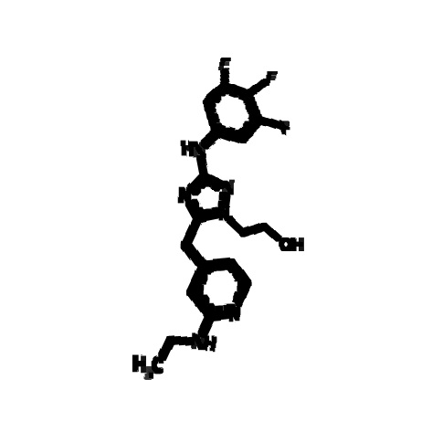 CCNc1cc(Cc2nc(Nc3cc(F)c(F)c(F)c3)nn2CCO)ccn1